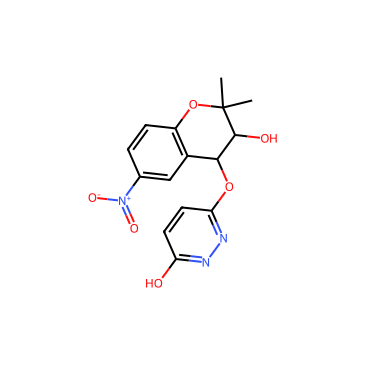 CC1(C)Oc2ccc([N+](=O)[O-])cc2C(Oc2ccc(O)nn2)C1O